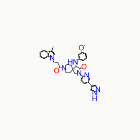 COc1cccc(NC2C(=O)N(c3ccc(-c4cn[nH]c4)cn3)CC23CCN(C(=O)CCn2cc(C)c4ccccc42)CC3)c1